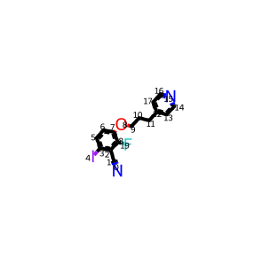 N#Cc1c(I)ccc(OCCCc2ccncc2)c1F